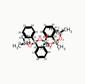 C[SiH](C)O[Si](C)(O[Si](C)(C)O[Si](O[SiH](C)C)(c1ccccc1)c1ccccc1)c1ccccc1